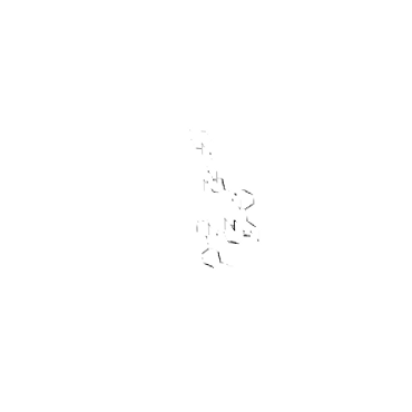 Fc1cccc(C2CCCN2c2ccc3ncc(-c4cccc(-c5cnn(CCN6CCOCC6)c5)n4)n3n2)c1